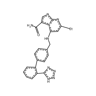 CCc1cc(NCc2ccc(-c3ccccc3-c3nnn[nH]3)cc2)n2c(C(N)=O)cnc2n1